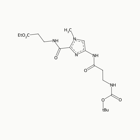 CCOC(=O)CCNC(=O)c1nc(NC(=O)CCNC(=O)OC(C)(C)C)cn1C